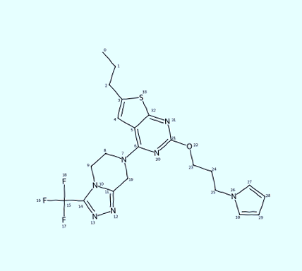 CCCc1cc2c(N3CCn4c(nnc4C(F)(F)F)C3)nc(OCCCn3cccc3)nc2s1